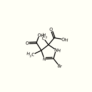 CC1(C(=O)O)N=C(Br)NC1(C)C(=O)O